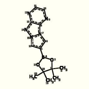 CC1(C)OB(c2cn3c4nccnc4[n-][n+]3c2)OC1(C)C